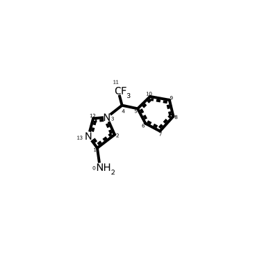 Nc1cn(C(c2ccccc2)C(F)(F)F)cn1